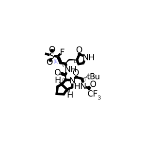 CC(C)(C)[C@H](NC(=O)C(F)(F)F)C(=O)N1C[C@@H]2CCC[C@@H]2[C@H]1C(=O)N[C@@H](/C=C(\F)S(C)(=O)=O)C[C@@H]1CCNC1=O